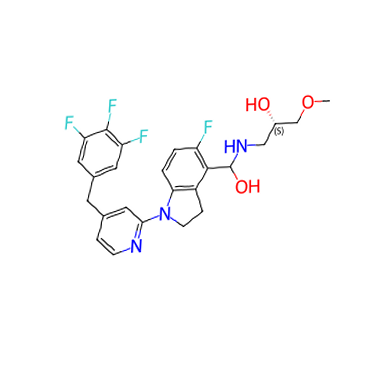 COC[C@@H](O)CNC(O)c1c(F)ccc2c1CCN2c1cc(Cc2cc(F)c(F)c(F)c2)ccn1